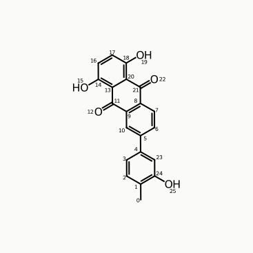 Cc1ccc(-c2ccc3c(c2)C(=O)c2c(O)ccc(O)c2C3=O)cc1O